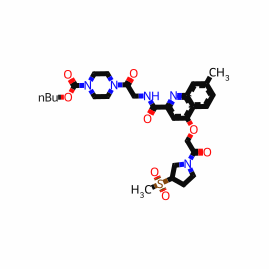 CCCCOC(=O)N1CCN(C(=O)CNC(=O)c2cc(OCC(=O)N3CCC(S(C)(=O)=O)C3)c3ccc(C)cc3n2)CC1